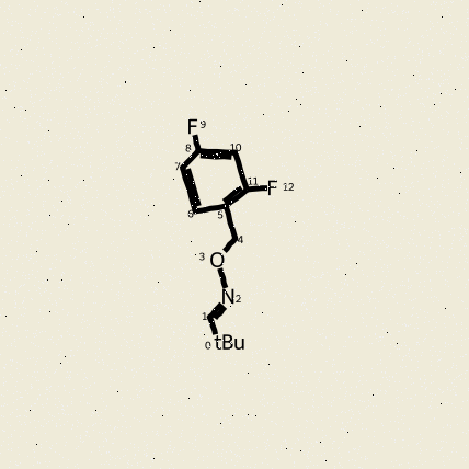 CC(C)(C)C=NOCc1ccc(F)cc1F